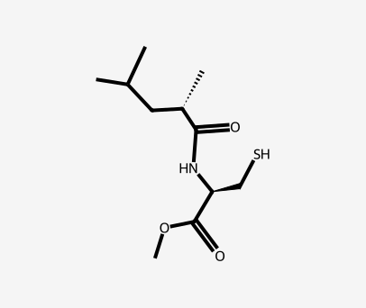 COC(=O)[C@H](CS)NC(=O)[C@@H](C)CC(C)C